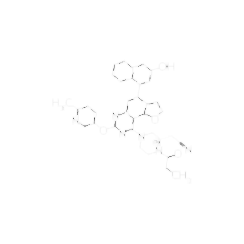 C=CC(=O)N1CCN(c2nc(Oc3ccc(C)nc3)nc3cc(-c4cc(O)cc5ccccc45)c4ccoc4c23)C[C@@H]1CC#N